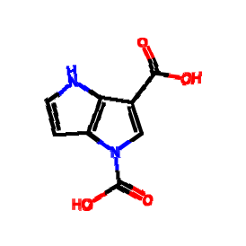 O=C(O)c1cn(C(=O)O)c2cc[nH]c12